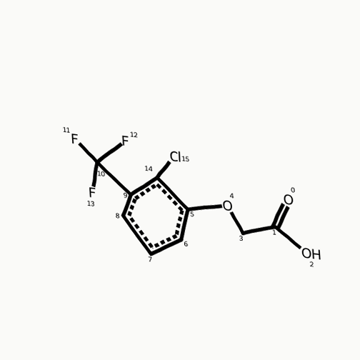 O=C(O)COc1cccc(C(F)(F)F)c1Cl